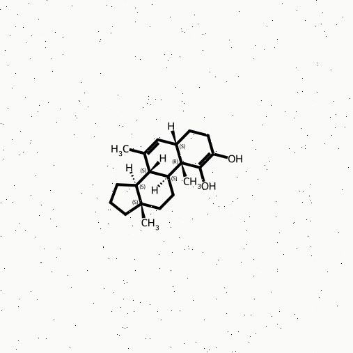 CC1=C[C@@H]2CCC(O)=C(O)[C@]2(C)[C@H]2CC[C@]3(C)CCC[C@H]3[C@H]12